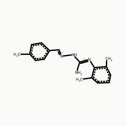 Cc1ccc(/C=N/N/C(N)=N/c2c(C)cccc2C)cc1